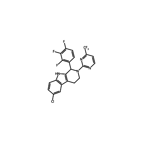 Fc1ccc(C2c3[nH]c4ccc(Cl)cc4c3CCN2c2nccc(C(F)(F)F)n2)c(F)c1F